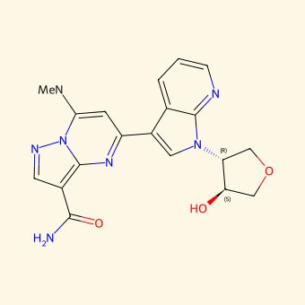 CNc1cc(-c2cn([C@@H]3COC[C@H]3O)c3ncccc23)nc2c(C(N)=O)cnn12